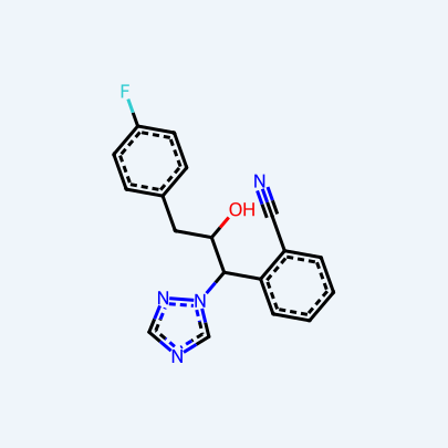 N#Cc1ccccc1C(C(O)Cc1ccc(F)cc1)n1cncn1